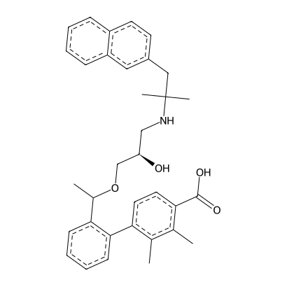 Cc1c(C(=O)O)ccc(-c2ccccc2C(C)OC[C@H](O)CNC(C)(C)Cc2ccc3ccccc3c2)c1C